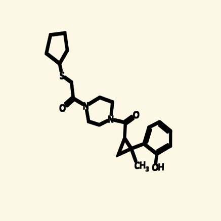 CC1(c2ccccc2O)CC1C(=O)N1CCN(C(=O)CSC2CCCC2)CC1